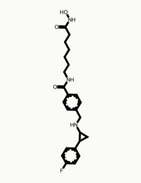 O=C(CCCCCCNC(=O)c1ccc(CNC2CC2c2ccc(F)cc2)cc1)NO